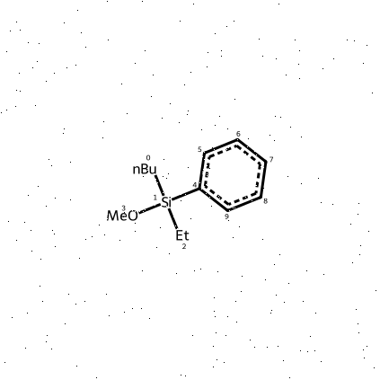 CCCC[Si](CC)(OC)c1ccccc1